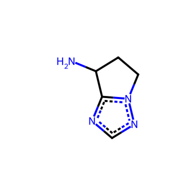 NC1CCn2ncnc21